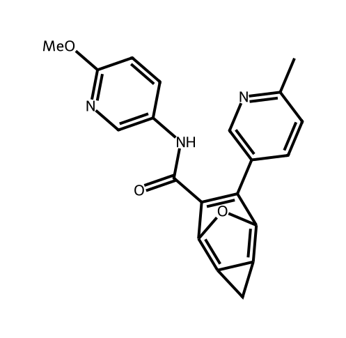 COc1ccc(NC(=O)c2c(-c3ccc(C)nc3)c3oc2c2c3C2)cn1